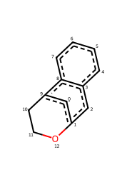 [c]1c2cc3ccccc3c1CCO2